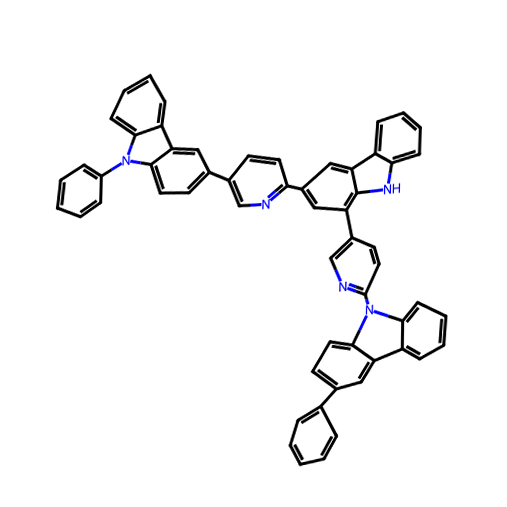 c1ccc(-c2ccc3c(c2)c2ccccc2n3-c2ccc(-c3cc(-c4ccc(-c5ccc6c(c5)c5ccccc5n6-c5ccccc5)cn4)cc4c3[nH]c3ccccc34)cn2)cc1